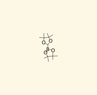 CC1(C)OB(C2OC(C)(C)C(C)(C)O2)OC1(C)C